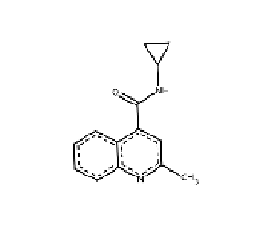 Cc1cc(C(=O)NC2CC2)c2ccccc2n1